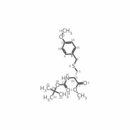 COC(=O)[C@@H](CSCc1ccc(OC)cc1)NC(=O)OC(C)(C)C